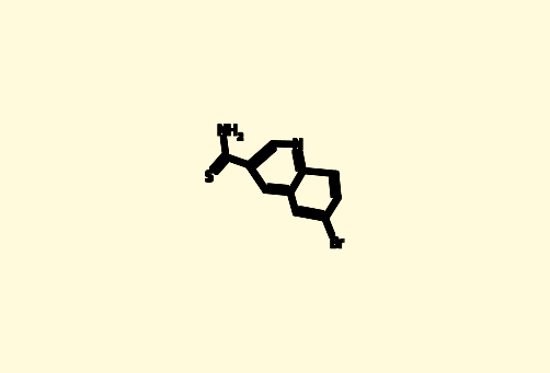 NC(=S)c1cnc2ccc(Br)cc2c1